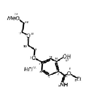 CCOC(=N)c1ccc(OCCOCCOC)cc1O.Cl